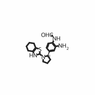 Nc1cc([C@H]2CCCN2C2NC3=C(CCCC3)S2)ccc1NC=O